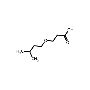 CC(C)CCOCCC(=O)O